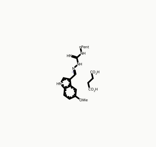 CCCCCNC(=N)N/N=C/c1c[nH]c2ccc(OC)cc12.O=C(O)CCC(=O)O